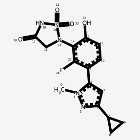 Cn1nc(C2CC2)cc1-c1ccc(O)c(N2CC(=O)NS2(=O)=O)c1F